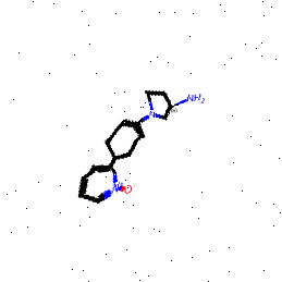 N[C@@H]1CCN(C2CCC(c3cccc[n+]3[O-])CC2)C1